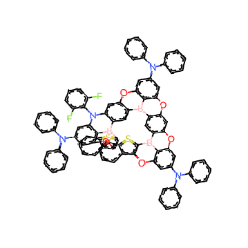 Fc1cccc(F)c1N1c2cc3c(cc2B2c4sc5ccccc5c4Oc4cc(N(c5ccccc5)c5ccccc5)cc1c42)B1c2cc4c(cc2Oc2cc(N(c5ccccc5)c5ccccc5)cc(c21)O3)Oc1cc(N(c2ccccc2)c2ccccc2)cc2c1B4c1sc3ccccc3c1O2